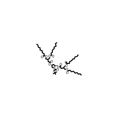 CCCCCCCCC(=O)OCC(COC(=O)CCCCCCCC)CC(=O)OC[C@@H]1C[C@@H](OC(=O)CC(COC(=O)CCCCCCCC)COC(=O)CCCCCCCC)CN1C(=O)OC(C)(C)C